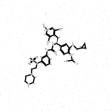 CS(=O)(=O)N(CCN1CCOCC1)c1cccc(SC(=O)O[C@@H](Cc2c(Cl)c[n+]([O-])cc2Cl)c2ccc(OC(F)F)c(OCC3CC3)c2)c1